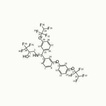 OC(CNC(c1cccc(Oc2cccc(OC(F)(F)C(F)F)c2)c1)c1cccc(OC(F)(F)C(F)F)c1)C(F)(F)F